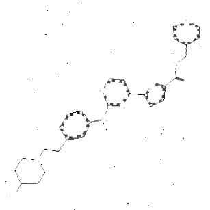 O=C(NCc1ccncc1)c1ccc(-c2ccnc(Nc3cccc(CCN4CCC(O)CC4)c3)n2)s1